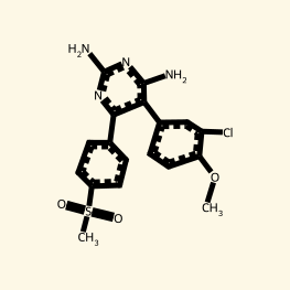 COc1ccc(-c2c(N)nc(N)nc2-c2ccc(S(C)(=O)=O)cc2)cc1Cl